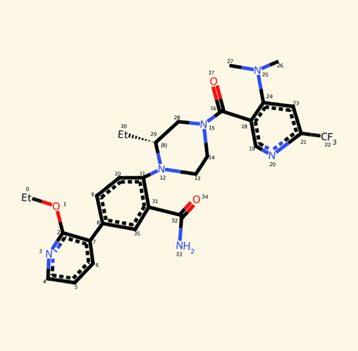 CCOc1ncccc1-c1ccc(N2CCN(C(=O)c3cnc(C(F)(F)F)cc3N(C)C)C[C@H]2CC)c(C(N)=O)c1